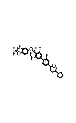 Fc1cc(OC(F)(F)c2c(F)cc(-c3ccc(C4CCC(C5CCCC5)CO4)cc3F)cc2F)ccc1OC(F)(F)F